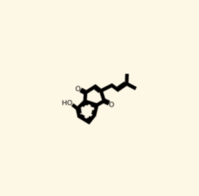 CC(C)=CCC1=CC(=O)c2c(O)cccc2C1=O